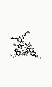 C=CCCC(=O)N(C)[C@@H](COCCC(C)C)C(=O)O[C@H]1[C@@H](O)[C@H](n2cnc3c(N)ncnc32)O[C@@H]1COP(=O)(O)[C@H]1[C@@H](O)[C@H](n2ccc(N)nc2=O)O[C@@H]1COP(=O)(O)O